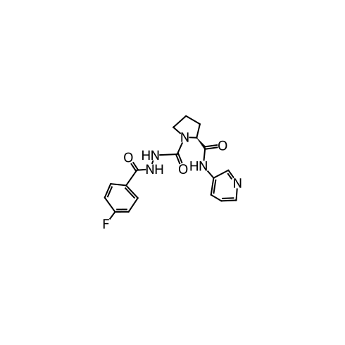 O=C(NNC(=O)N1CCC[C@H]1C(=O)Nc1cccnc1)c1ccc(F)cc1